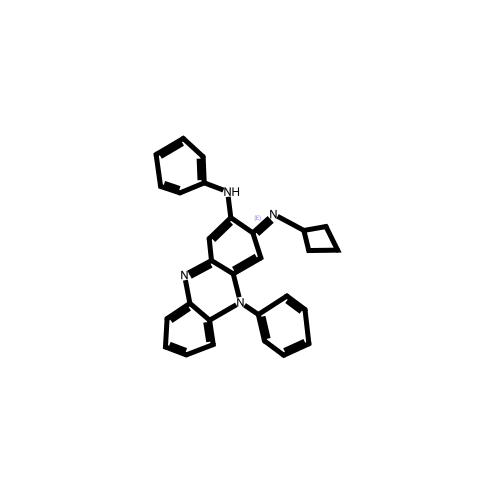 c1ccc(Nc2cc3nc4ccccc4n(-c4ccccc4)c-3c/c2=N\C2CCC2)cc1